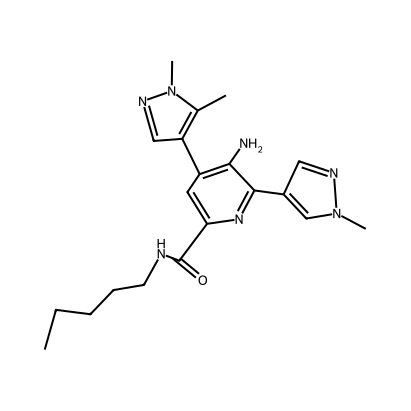 CCCCCNC(=O)c1cc(-c2cnn(C)c2C)c(N)c(-c2cnn(C)c2)n1